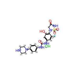 Cl.O=C1CN(c2c(O)cc(NC(=O)Nc3ccc(N4CCNCC4)cc3)cc2F)S(=O)(=O)N1